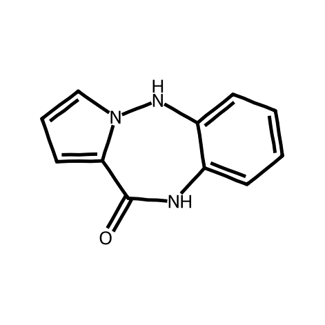 O=C1Nc2ccccc2Nn2cccc21